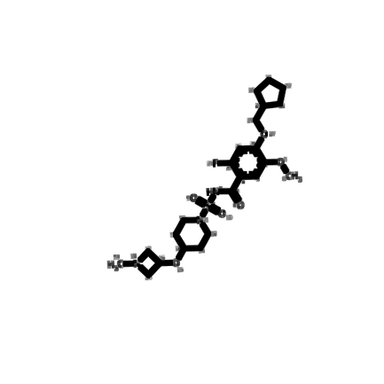 COc1cc(C(=O)NS(=O)(=O)N2CCC(OC3CN(C)C3)CC2)c(F)cc1OCC1CCCC1